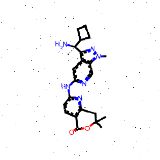 Cn1nc([C@@](C)(N)C2CCC2)c2cc(Nc3ccc4c(n3)CC(C)(C)OC4=O)ncc21